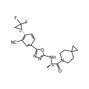 C[C@@H](Nc1nnc(-c2ccc([C@@H]3CC3(F)F)c(C#N)c2)o1)C(=O)N1CCC2(CC1)CC2